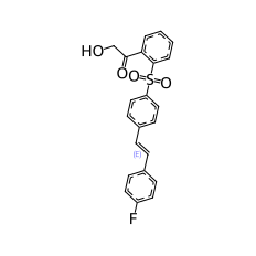 O=C(CO)c1ccccc1S(=O)(=O)c1ccc(/C=C/c2ccc(F)cc2)cc1